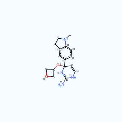 CN1CCc2cc(C3(OC4COC4)C=CNC(N)=N3)ccc21